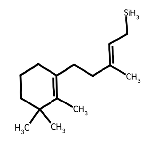 CC(=CC[SiH3])CCC1=C(C)C(C)(C)CCC1